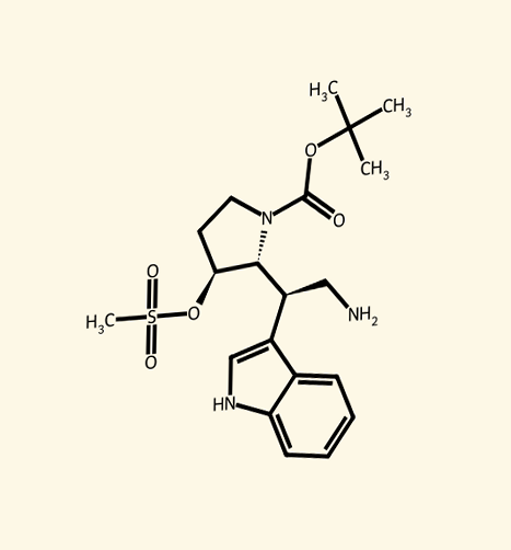 CC(C)(C)OC(=O)N1CC[C@H](OS(C)(=O)=O)[C@H]1[C@@H](CN)c1c[nH]c2ccccc12